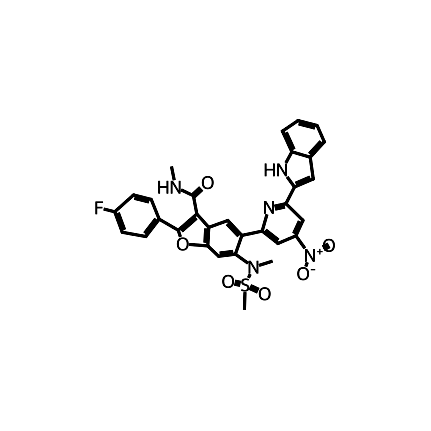 CNC(=O)c1c(-c2ccc(F)cc2)oc2cc(N(C)S(C)(=O)=O)c(-c3cc([N+](=O)[O-])cc(-c4cc5ccccc5[nH]4)n3)cc12